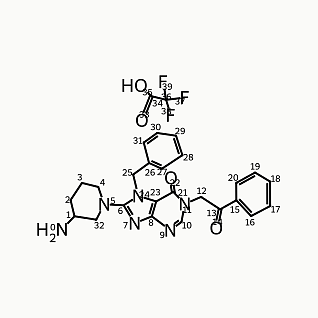 NC1CCCN(c2nc3ncn(CC(=O)c4ccccc4)c(=O)c3n2Cc2ccccc2)C1.O=C(O)C(F)(F)F